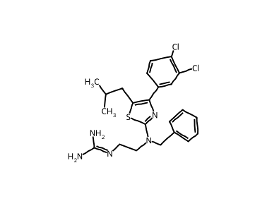 CC(C)Cc1sc(N(CCN=C(N)N)Cc2ccccc2)nc1-c1ccc(Cl)c(Cl)c1